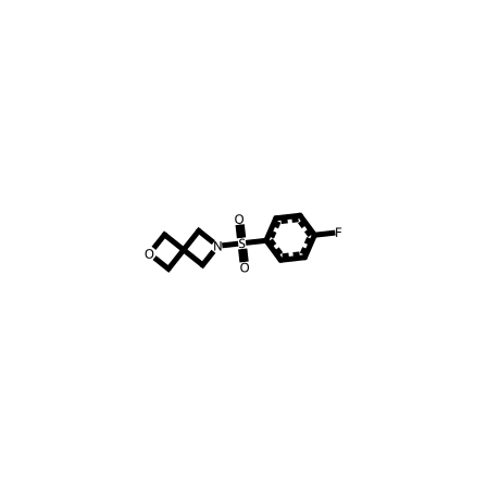 O=S(=O)(c1ccc(F)cc1)N1CC2(COC2)C1